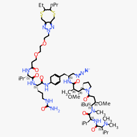 CCCC1SCc2nn(CCOCCOCCC(=O)N[C@H](C(=O)N[C@@H](CCCNC(N)=O)C(=O)NC3C=CC(C[C@@H](CN=[N+]=[N-])NC(=O)[C@H](C)[C@@H](OC)[C@@H]4CCCN4C(=O)C[C@@H](OC)[C@H]([C@@H](C)CC)N(C)C(=O)[C@@H](NC(=O)[C@H](C(C)C)N(C)C)C(C)C)=CC3)C(C)C)nc2CSC1CC